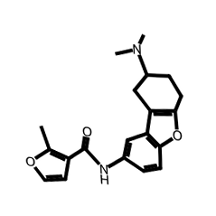 Cc1occc1C(=O)Nc1ccc2oc3c(c2c1)CC(N(C)C)CC3